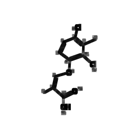 CC(=COc1ccc(Cl)c(C)c1Cl)C(=O)O